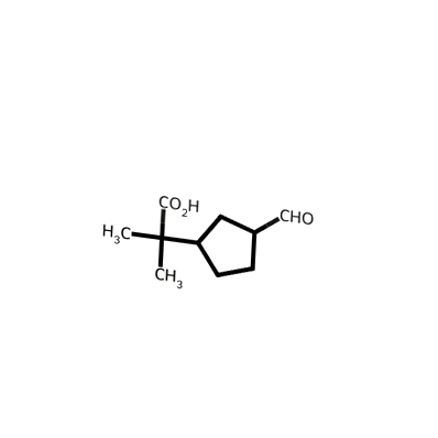 CC(C)(C(=O)O)C1CCC(C=O)C1